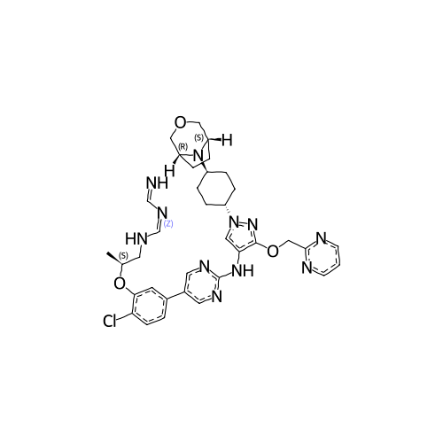 C[C@@H](CN/C=N\C=N)Oc1cc(-c2cnc(Nc3cn([C@H]4CC[C@H](N5[C@@H]6CC[C@H]5COC6)CC4)nc3OCc3ncccn3)nc2)ccc1Cl